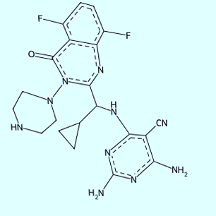 N#Cc1c(N)nc(N)nc1NC(c1nc2c(F)ccc(F)c2c(=O)n1N1CCNCC1)C1CC1